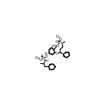 CCOP(=O)(NC(C)Cc1ccccc1)OCC.CCOP(=O)(OCC)N(C)CCC(Oc1ccccc1C)c1ccccc1